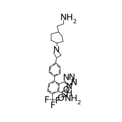 NCCC1CCC(N2CC(c3ccc(-c4ccc(C(F)(F)F)c(S(N)(=O)=O)c4-c4nnn[nH]4)cc3)C2)CC1